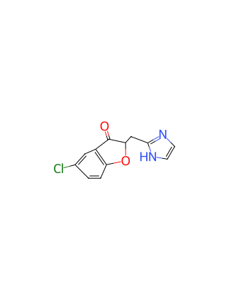 O=C1c2cc(Cl)ccc2OC1Cc1ncc[nH]1